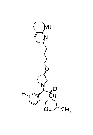 CC1CC[C@@H](c2ccc(F)cc2[C@H](C(=O)O)N2CC[C@@H](OCCCCc3ccc4c(n3)NCCC4)C2)OC1